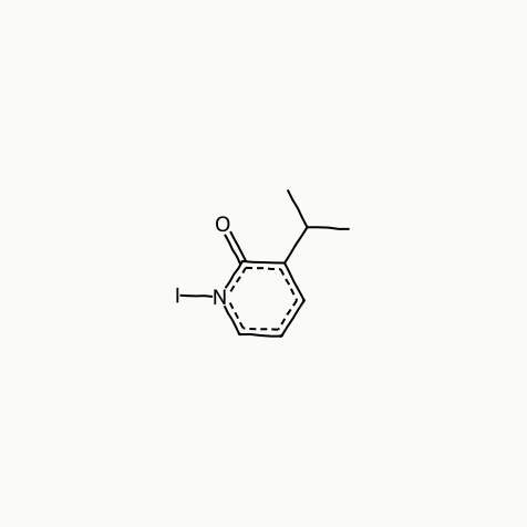 CC(C)c1cccn(I)c1=O